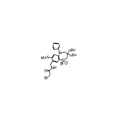 CCCCC1(CCCC)CN(c2ccccc2)c2cc(SC)c(CNC(=O)CBr)cc2S(=O)(=O)C1